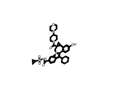 O=C(NS(=O)(=O)C1CC1)c1ccc2c(C3CCCCC3)c3n(c2c1)CC1(C(=O)N2CCC(N4CCOCC4)CC2)CC1c1cc(O)ccc1-3